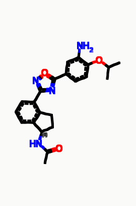 CC(=O)N[C@@H]1CCc2c(-c3noc(-c4ccc(OC(C)C)c(N)c4)n3)cccc21